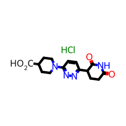 Cl.O=C1CCC(c2ccc(N3CCC(C(=O)O)CC3)nn2)C(=O)N1